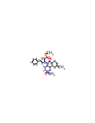 COC(=O)c1sc(-c2ccccc2)cc1N(C(=O)C1CCC(C)CC1)C1CC[N+](C)([O-])CC1